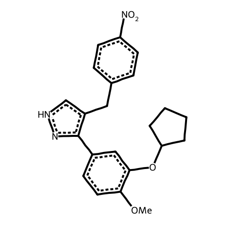 COc1ccc(-c2n[nH]cc2Cc2ccc([N+](=O)[O-])cc2)cc1OC1CCCC1